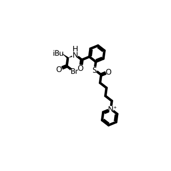 CC[C@H](C)[C@H](NC(=O)c1ccccc1SC(=O)CCCC[n+]1ccccc1)C(=O)Br